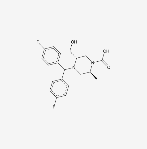 C[C@H]1CN(C(c2ccc(F)cc2)c2ccc(F)cc2)[C@H](CO)CN1C(=O)O